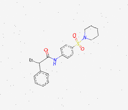 CCC(C(=O)Nc1ccc(S(=O)(=O)N2CCCCC2)cc1)c1ccccc1